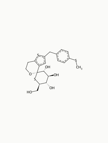 CSc1ccc(Cc2cc3c(s2)CCO[C@]32S[C@H](CO)[C@@H](O)[C@H](O)[C@H]2O)cc1